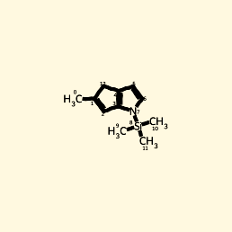 CC1=Cc2c(ccn2[Si](C)(C)C)C1